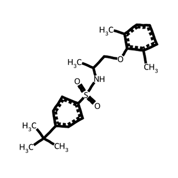 Cc1cccc(C)c1OCC(C)NS(=O)(=O)c1ccc(C(C)(C)C)cc1